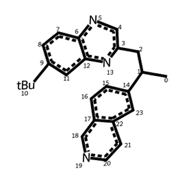 CC(Cc1cnc2ccc(C(C)(C)C)cc2n1)c1ccc2cnccc2c1